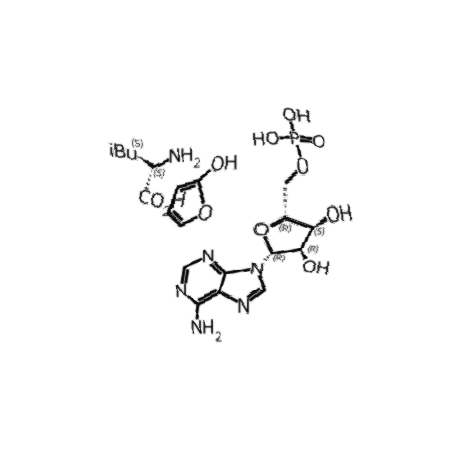 CC[C@H](C)[C@H](N)C(=O)O.Nc1ncnc2c1ncn2[C@@H]1O[C@H](COP(=O)(O)O)[C@@H](O)[C@H]1O.Oc1ccco1